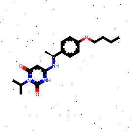 CCCCOc1ccc([C@H](C)Nc2cc(=O)n(C(C)C)c(=O)[nH]2)cc1